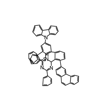 c1ccc(C2=NC(c3c(-c4ccc5ccc6ccccc6c5c4)cccc3-c3cc(-n4c5ccccc5c5ccccc54)cc4c3sc3ccccc34)NC(c3ccccc3)=N2)cc1